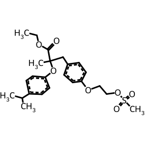 CCOC(=O)C(C)(Cc1ccc(OCCOS(C)(=O)=O)cc1)Oc1ccc(C(C)C)cc1